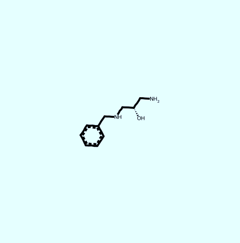 NC[C@H](O)CNCc1ccccc1